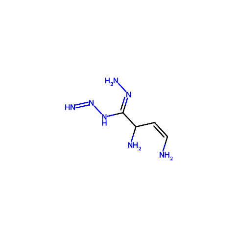 N=NNC(=NN)C(N)/C=C\N